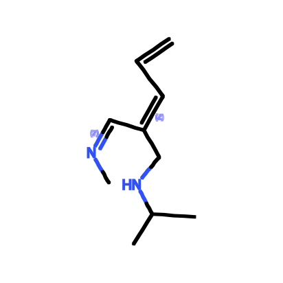 C=C/C=C(\C=N/C)CNC(C)C